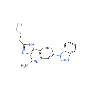 Nc1nc2cc(-n3cnc4ccccc43)ccc2c2[nH]c(CCCO)nc12